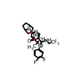 CC(C)(Oc1ccc(F)c(F)c1)C(=O)NC1CC2CCC(C1)N2c1ccc(C(=O)NCC(F)(F)F)cn1